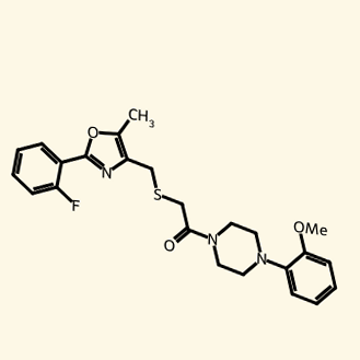 COc1ccccc1N1CCN(C(=O)CSCc2nc(-c3ccccc3F)oc2C)CC1